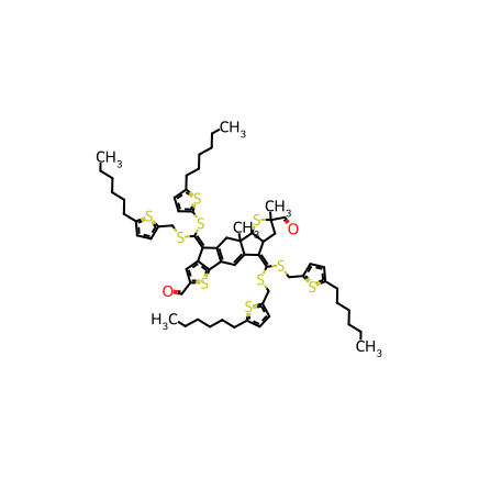 CCCCCCc1ccc(CSC(SCc2ccc(CCCCCC)s2)=C2C3=CC4=C(CC3(C)C3SC(C)(C=O)CC23)/C(=C(/SCc2ccc(CCCCCC)s2)Sc2ccc(CCCCCC)s2)c2cc(C=O)sc24)s1